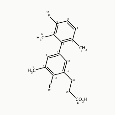 Cc1cc(-c2c(C)ccc(F)c2C)cc(CCC(=O)O)c1F